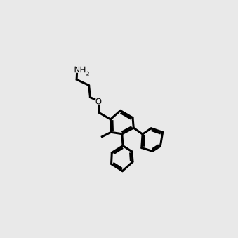 Cc1c(COCCCN)ccc(-c2ccccc2)c1-c1ccccc1